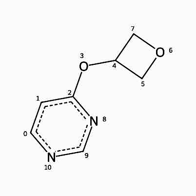 c1cc(OC2COC2)ncn1